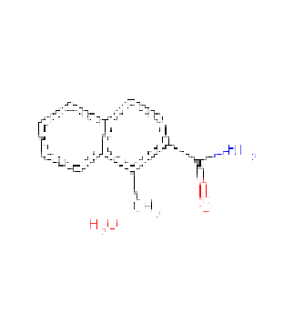 Cc1c(C(N)=O)ccc2ccccc12.O